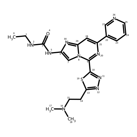 CCNC(=O)Nc1cn2c(-c3nnc(CCN(C)C)s3)nc(-c3cccnc3)cc2n1